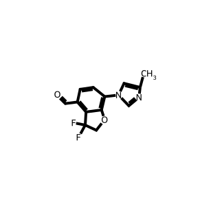 Cc1cn(-c2ccc(C=O)c3c2OCC3(F)F)cn1